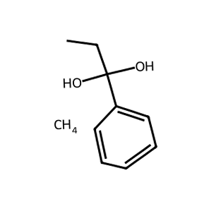 C.CCC(O)(O)c1ccccc1